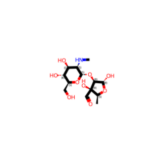 CN[C@@H]1[C@H](O[C@H]2[C@H](O)O[C@@H](C)[C@]2(O)C=O)O[C@@H](CO)[C@H](O)[C@H]1O